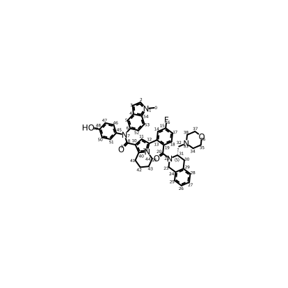 Cn1ccc2cc(N(C(=O)c3cc(-c4cc(F)ccc4C(=O)N4Cc5ccccc5C[C@H]4CN4CCOCC4)n4c3CCCC4)c3ccc(O)cc3)ccc21